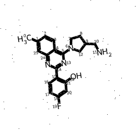 Cc1ccc2c(N3CCC(CN)C3)nc(-c3ccc(F)cc3O)nc2c1